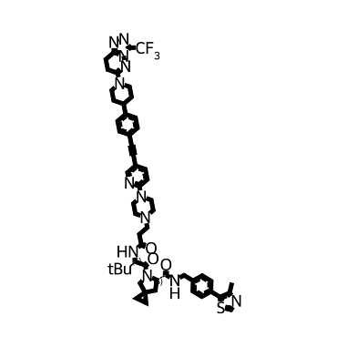 Cc1ncsc1-c1ccc(CNC(=O)[C@@H]2CC3(CC3)CN2C(=O)[C@@H](NC(=O)CCN2CCN(c3ccc(C#Cc4ccc(C5CCN(C6=Nn7c(nnc7C(F)(F)F)CC6)CC5)cc4)cn3)CC2)C(C)(C)C)cc1